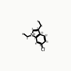 CCc1cn(CC)c2cc(Cl)ccc12